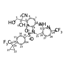 CC(C#N)(CO)c1ccc2c(c1)N(S(=O)(=O)c1ccc(C3(C(F)(F)F)CC3)cc1)Cc1ccc(C(F)(F)F)nc1N2